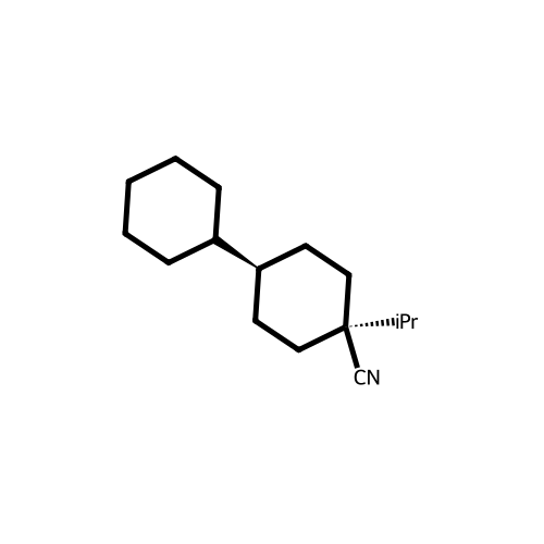 CC(C)[C@]1(C#N)CC[C@@H](C2CCCCC2)CC1